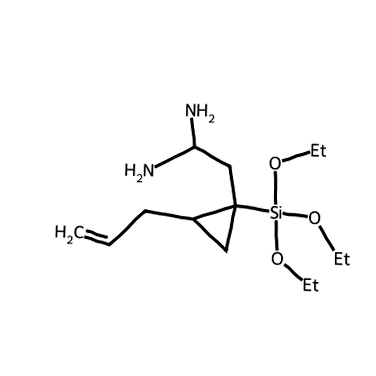 C=CCC1CC1(CC(N)N)[Si](OCC)(OCC)OCC